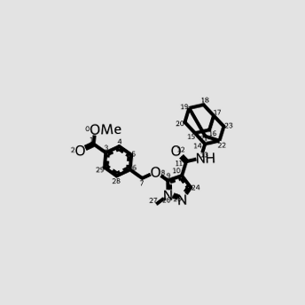 COC(=O)c1ccc(COc2c(C(=O)NC3C4CC5CC(C4)CC3C5)cnn2C)cc1